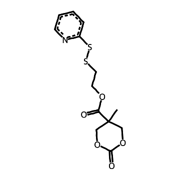 CC1(C(=O)OCCSSc2ccccn2)COC(=O)OC1